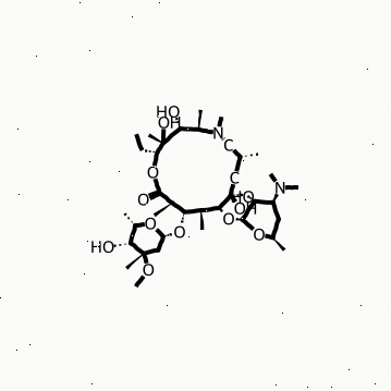 CC[C@H]1OC(=O)[C@H](C)[C@@H](O[C@@H]2C[C@](C)(OC)[C@H](O)[C@H](C)O2)[C@H](C)[C@@H](O[C@H]2O[C@H](C)C[C@H](N(C)C)[C@H]2O)[C@](C)(O)C[C@@H](C)CN(C)[C@H](C)[C@@H](O)[C@@]1(C)O